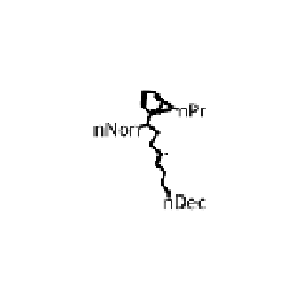 CCCCCCCCCCCCCC[CH]CCC(CCCCCCCCC)c1cccc2c1C2CCC